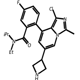 CCN(C(=O)c1cc(F)ccc1-c1cc(C2CNC2)cn2c(C)nc(Cl)c12)C(C)C